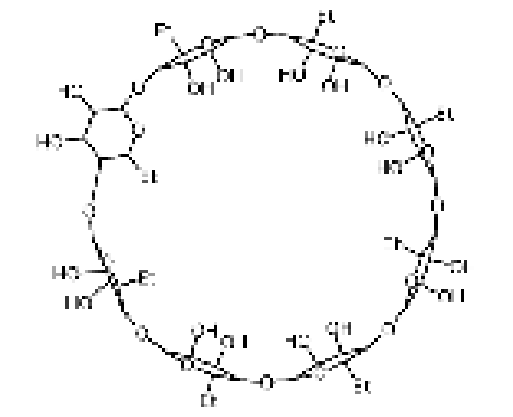 CCC1OC2OC3C(CC)OC(OC4C(CC)OC(OC5C(CC)OC(OC6C(CC)OC(OC7C(CC)OC(OC8C(CC)OC(OC9C(CC)OC(OC1C(O)C2O)C(O)C9O)C(O)C8O)C(O)C7O)C(O)C6O)C(O)C5O)C(O)C4O)C(O)C3O